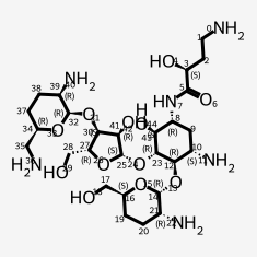 NCC[C@H](O)C(=O)N[C@@H]1C[C@H](N)[C@@H](O[C@H]2O[C@H](CO)CC[C@H]2N)[C@H](O[C@@H]2O[C@H](CO)[C@@H](O[C@H]3O[C@@H](CN)CC[C@H]3N)[C@H]2O)[C@H]1O